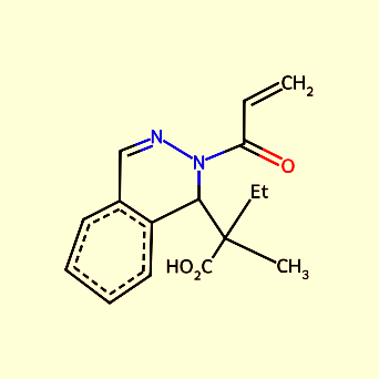 C=CC(=O)N1N=Cc2ccccc2C1C(C)(CC)C(=O)O